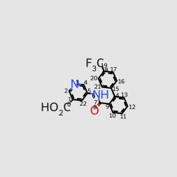 O=C(O)c1cncc(NC(=O)c2ccccc2-c2ccc(C(F)(F)F)cc2)c1